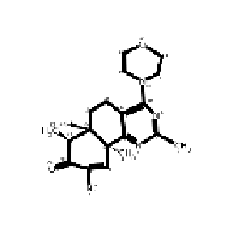 [C-]#[N+]C1=C[C@]2(C)c3nc(C)nc(N4CCOCC4)c3CC[C@H]2[C@H](C)C1=O